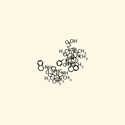 CN[C@@H](C)C(=O)N[C@H](C(=O)N1C[C@@H](c2ccc(C[C@H](NC(=O)[C@@H](NC(=O)[C@H](C)N(C)C(=O)OC(C)(C)C)C(C)(C)SCC(=O)O)C(=O)N[C@@H]3CCCc4ccccc43)cc2)C[C@H]1C(=O)N[C@@H]1CCCc2ccccc21)C(C)(C)C